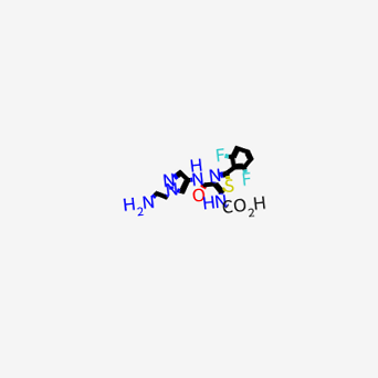 NCCn1cc(NC(=O)c2nc(-c3c(F)cccc3F)sc2NC(=O)O)cn1